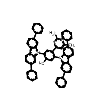 Cc1cc(-c2cc(-n3c4cc(-c5ccccc5)ccc4c4ccc(-c5ccccc5)cc43)c(C#N)cc2-n2c3cc(-c4ccccc4)ccc3c3ccc(-c4ccccc4)cc32)nc(C)n1